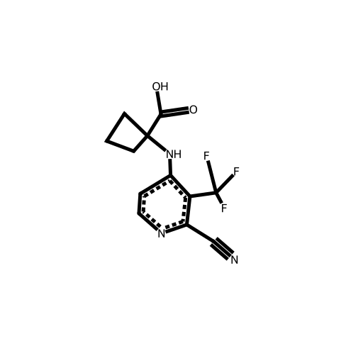 N#Cc1nccc(NC2(C(=O)O)CCC2)c1C(F)(F)F